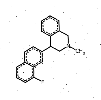 CN1Cc2ccccc2C(c2ccc3cccc(F)c3c2)C1